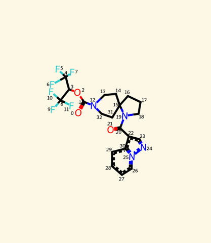 O=C(OC(C(F)(F)F)C(F)(F)F)N1CCC2(CCCN2C(=O)c2cnn3ccccc23)CC1